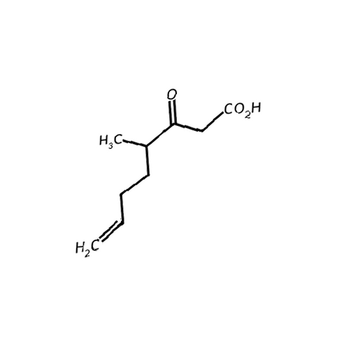 C=CCCC(C)C(=O)CC(=O)O